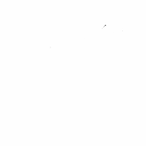 CCCCCCCCCCCCCCCC(=O)O[C@H](CC(=O)O)C[N+](C)(C)C.Cl